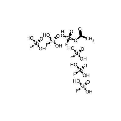 CC(=O)[O][Sb](=[O])([OH])[F].[O]=[Sb]([OH])([OH])[F].[O]=[Sb]([OH])([OH])[F].[O]=[Sb]([OH])([OH])[F].[O]=[Sb]([OH])([OH])[F].[O]=[Sb]([OH])([OH])[F]